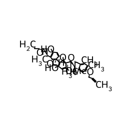 C=CCO/N=C(\C)C1=C(O)C=C2Oc3c(C(=O)NCc4c(C)cc(OCC#CC)c(C)c4C)c(OC)cc(O)c3[C@]2(C)C1=O